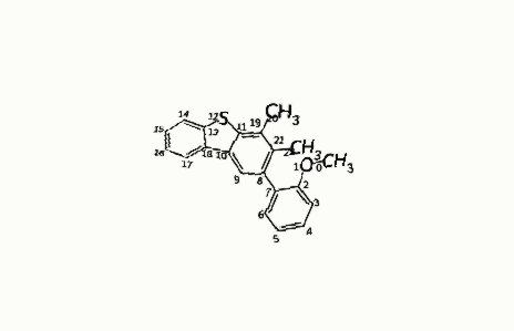 COc1ccccc1-c1cc2c(sc3ccccc32)c(C)c1C